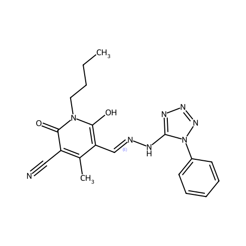 CCCCn1c(O)c(/C=N/Nc2nnnn2-c2ccccc2)c(C)c(C#N)c1=O